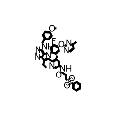 CCc1c(-c2ncc(NC(=O)CCS(=O)(=O)c3ccccc3)cc2C)n(-c2ccc(Oc3nccc(C)n3)c(F)c2)c2c(NCc3ccc(OC)cc3)ncnc12